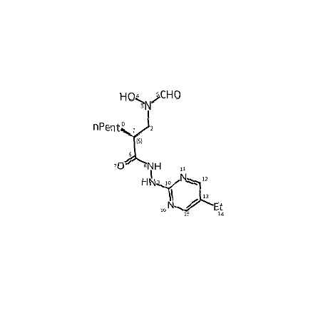 CCCCC[C@@H](CN(O)C=O)C(=O)NNc1ncc(CC)cn1